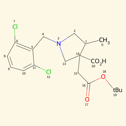 CC1CN(Cc2c(Cl)cccc2Cl)CC1(CC(=O)OC(C)(C)C)C(=O)O